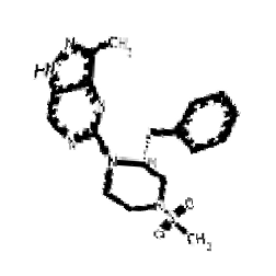 Cc1n[nH]c2cnc(N3CCN(S(C)(=O)=O)C[C@H]3Cc3ccccc3)nc12